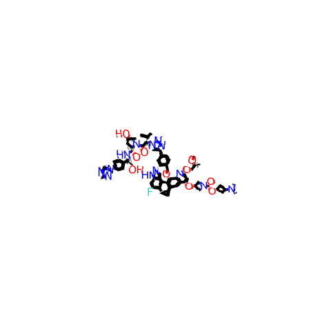 CO[C@@H](C)COc1cc(OC2CN(C(=O)OC3CC(N(C)C)C3)C2)c2cc(C3CC3)c(-c3c(C)c(F)cc4[nH]ncc34)c(OCc3ccc(-c4cn([C@H](C(=O)N5C[C@H](O)C[C@H]5C(=O)N[C@@H](CO)c5ccc(-n6cncn6)cc5)C(C)C)nn4)cc3)c2n1